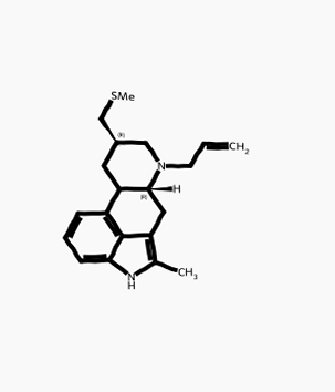 C=CCN1C[C@H](CSC)CC2c3cccc4[nH]c(C)c(c34)C[C@H]21